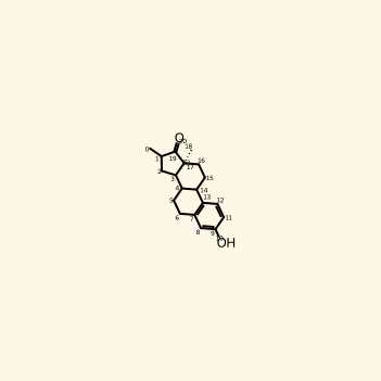 CC1CC2C3CCc4cc(O)ccc4C3CC[C@]2(C)C1=O